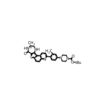 Cc1cc(N2CCN(C(=O)OC(C)(C)C)CC2)ccc1-c1ccc2c(ccc3sc4c(c32)NC[C@@H](C)NC4=O)n1